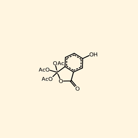 CC(=O)OI1(OC(C)=O)(OC(C)=O)OC(=O)c2cc(O)ccc21